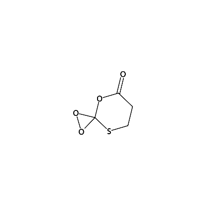 O=C1CCSC2(OO2)O1